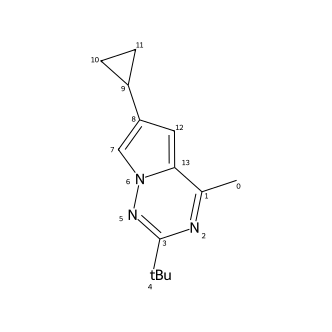 Cc1nc(C(C)(C)C)nn2cc(C3CC3)cc12